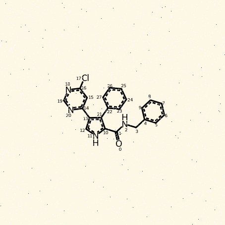 O=C(NCc1ccccc1)c1[nH]cc(-c2cc(Cl)ncn2)c1-c1ccccc1